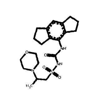 CC(CS(=O)(=O)NC(=O)Nc1c2c(cc3c1CCC3)CCC2)N1CCOCC1